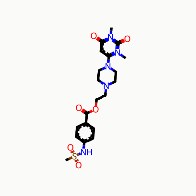 Cn1c(N2CCN(CCOC(=O)c3ccc(NS(C)(=O)=O)cc3)CC2)cc(=O)n(C)c1=O